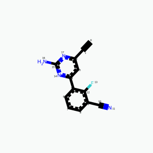 C#Cc1cc(-c2cccc(C#N)c2F)nc(N)n1